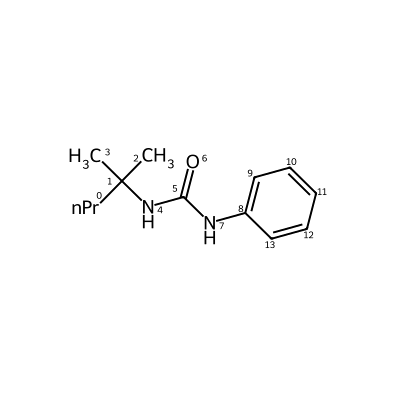 CCCC(C)(C)NC(=O)Nc1ccccc1